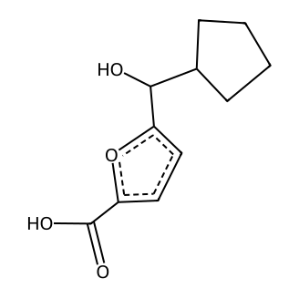 O=C(O)c1ccc(C(O)C2CCCC2)o1